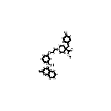 COC(=O)C1(Cc2ccc(Cl)cc2)CCN(CCOc2cccc(Nc3cc(C)nc4ccccc34)c2)CC1